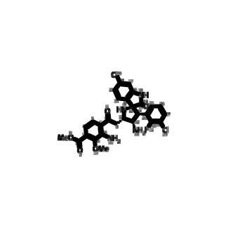 COC(=O)c1ccc(C(=O)C[C@@H]2N[C@@]3(C(=O)Nc4cc(Cl)ccc43)[C@@H](c3cccc(Cl)c3F)[C@@H]2N)c(N)c1OC